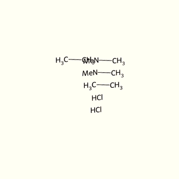 CC.CC.CNC.CNC.Cl.Cl